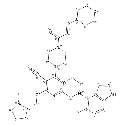 Cc1ccc2[nH]ncc2c1N1CCc2c(nc(OC[C@@H]3CCCN3C)c(C#N)c2N2CCN(C(=O)/C=C/N3CCOCC3)CC2)C1